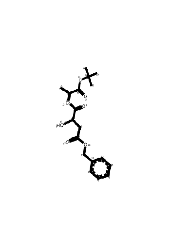 CC(OC(=O)C(O)CC(=O)OCc1ccccc1)C(=O)OC(C)(C)C